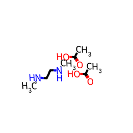 CC(=O)O.CC(=O)O.CNCCNC